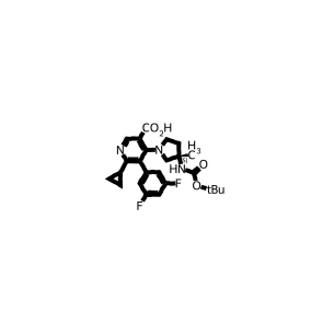 CC(C)(C)OC(=O)N[C@@]1(C)CCN(c2c(C(=O)O)cnc(C3CC3)c2-c2cc(F)cc(F)c2)C1